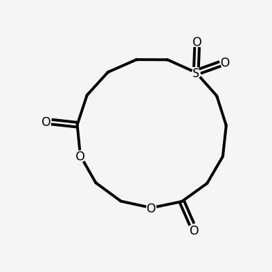 O=C1CCCCS(=O)(=O)CCCCC(=O)OCCO1